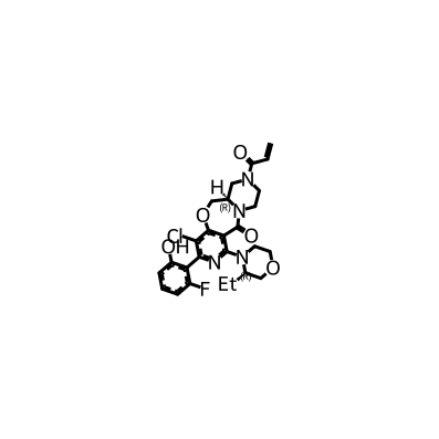 C=CC(=O)N1CCN2C(=O)c3c(N4CCOC[C@H]4CC)nc(-c4c(O)cccc4F)c(Cl)c3OC[C@H]2C1